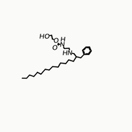 CCCCCCCCCCCCCCC(CNCCNC(=O)OCCO)Cc1ccccc1